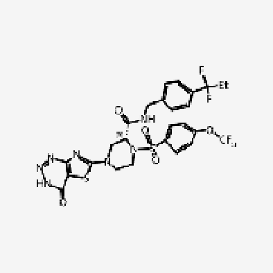 CCC(F)(F)c1ccc(CNC(=O)[C@H]2CN(c3nc4nn[nH]c(=O)c4s3)CCN2S(=O)(=O)c2ccc(OC(F)(F)F)cc2)cc1